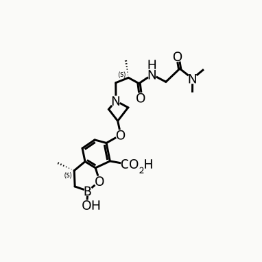 C[C@@H](CN1CC(Oc2ccc3c(c2C(=O)O)OB(O)C[C@@H]3C)C1)C(=O)NCC(=O)N(C)C